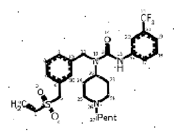 C=CS(=O)(=O)Cc1cccc(CN(C(=O)Nc2cccc(C(F)(F)F)c2)C2CCN(C(C)CCC)CC2)c1